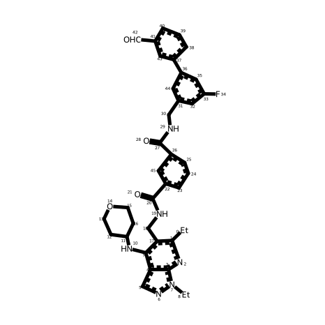 CCc1nc2c(cnn2CC)c(NC2CCOCC2)c1CNC(=O)c1cccc(C(=O)NCc2cc(F)cc(-c3cccc(C=O)c3)c2)c1